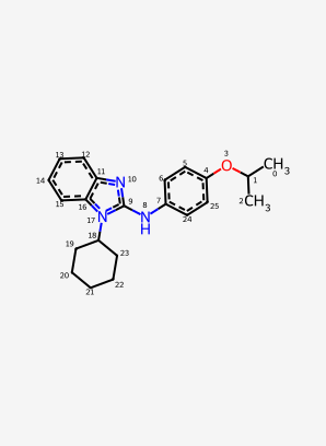 CC(C)Oc1ccc(Nc2nc3ccccc3n2C2CCCCC2)cc1